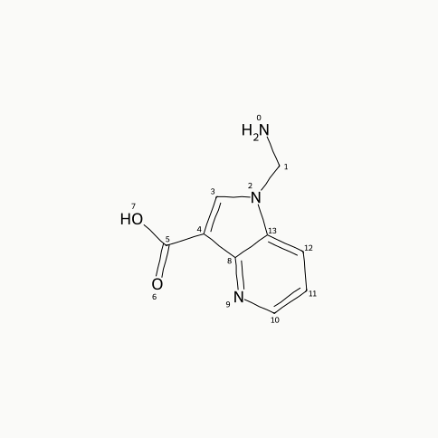 NCn1cc(C(=O)O)c2ncccc21